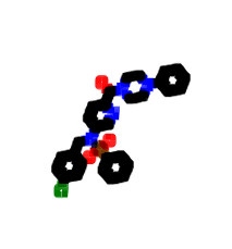 O=C(c1ccc(N(Cc2ccc(Cl)cc2)S(=O)(=O)c2ccccc2)cn1)N1CCN(c2ccccc2)CC1